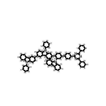 c1ccc(-c2nc(-c3ccccc3)nc(-c3ccc(-c4ccc(-c5ccc6c7cc(-c8ccc9c(c8)c8ccccc8n9-c8ccccc8)ccc7n(-c7ccccc7)c6c5)c(-n5c6ccccc6c6ccccc65)c4)cc3)n2)cc1